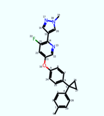 Cc1ccc(C2(c3ccc(Oc4cnc(-c5cnn(C)c5)c(F)c4)cc3)CC2)cc1